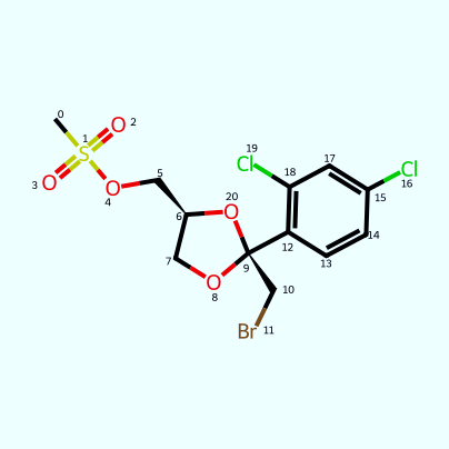 CS(=O)(=O)OC[C@@H]1CO[C@@](CBr)(c2ccc(Cl)cc2Cl)O1